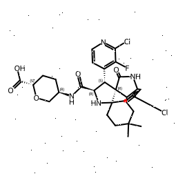 CC1(C)CCC2(CC1)N[C@@H](C(=O)N[C@@H]1CC[C@@H](C(=O)O)OC1)[C@H](c1ccnc(Cl)c1F)[C@]21C(=O)Nc2cc(Cl)ccc21